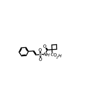 O=C(O)C1(C(=O)NS(=O)(=O)C=Cc2ccccc2)CCC1